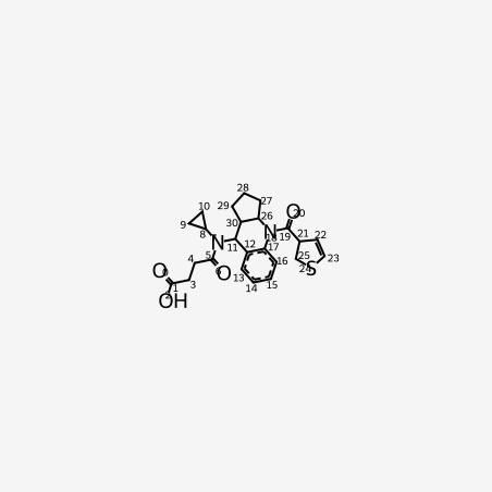 O=C(O)CCC(=O)N(C1CC1)C1c2ccccc2N(C(=O)C2C=CSC2)C2CCCC21